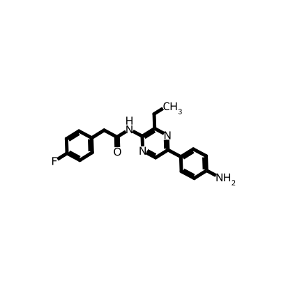 CCc1nc(-c2ccc(N)cc2)cnc1NC(=O)Cc1ccc(F)cc1